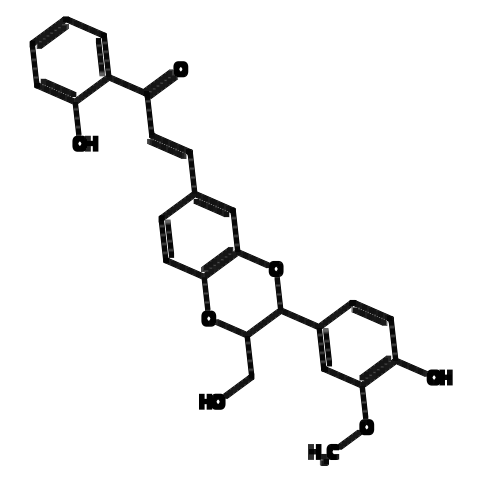 COc1cc(C2Oc3cc(/C=C/C(=O)c4ccccc4O)ccc3OC2CO)ccc1O